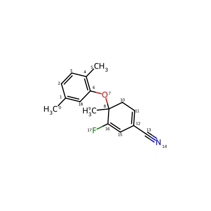 Cc1ccc(C)c(OC2(C)CC=C(C#N)C=C2F)c1